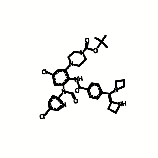 CC(C)(C)OC(=O)N1CCN(c2cc(Cl)cc(N(C=O)c3ccc(Cl)cn3)c2NC(=O)c2ccc(C(=C3CCN3)N3CCC3)cc2)CC1